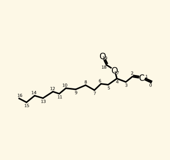 C=C=CCC(CCCCCCCCCCCC)OC=O